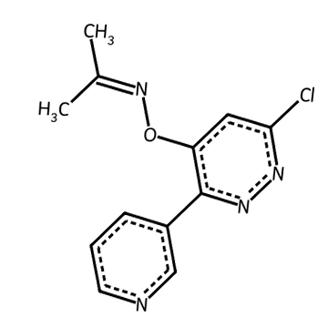 CC(C)=NOc1cc(Cl)nnc1-c1cccnc1